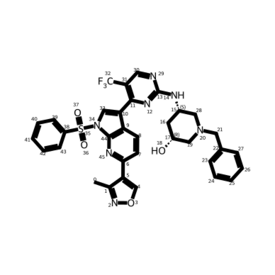 Cc1nocc1-c1ccc2c(-c3nc(N[C@H]4C[C@@H](O)CN(Cc5ccccc5)C4)ncc3C(F)(F)F)cn(S(=O)(=O)c3ccccc3)c2n1